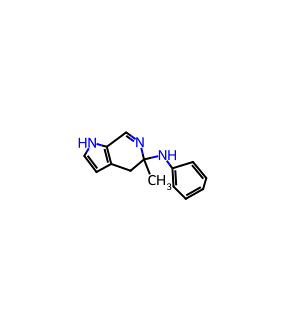 CC1(Nc2ccccc2)Cc2cc[nH]c2C=N1